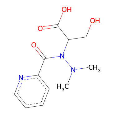 CN(C)N(C(=O)c1ccccn1)C(CO)C(=O)O